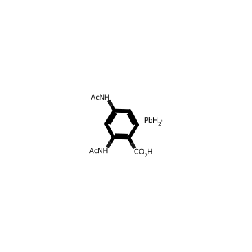 CC(=O)Nc1ccc(C(=O)O)c(NC(C)=O)c1.[PbH2]